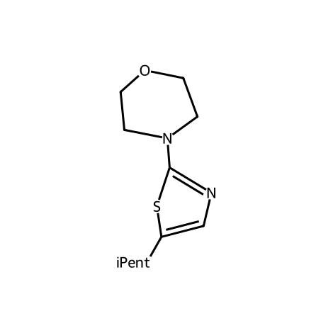 CCCC(C)c1cnc(N2CCOCC2)s1